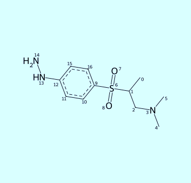 CC(CN(C)C)S(=O)(=O)c1ccc(NN)cc1